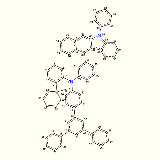 CC1(c2ccccc2N(c2ccc(-c3cc(-c4ccccc4)cc(-c4ccccc4)c3)cc2)c2cccc(-c3c4ccccc4cc4c3c3ccccc3n4-c3ccccc3)c2)C=CC=CC1